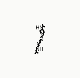 CC(C)CNCCOCCOCCN1CCC(NC(C)C)CC1